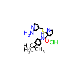 CC(C)(C)c1ccc(NC(=O)c2cccnc2SCc2ccnc(N)c2)cc1.Cl